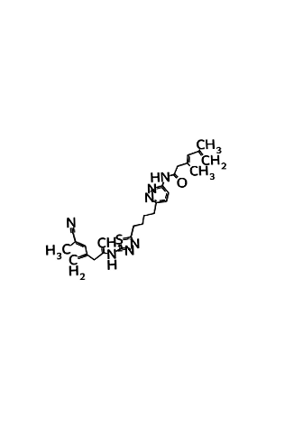 C=C(C)/C=C(\C)CC(=O)Nc1ccc(CCCCc2nnc(NC(=C)CC(=C)/C=C(\C)C#N)s2)nn1